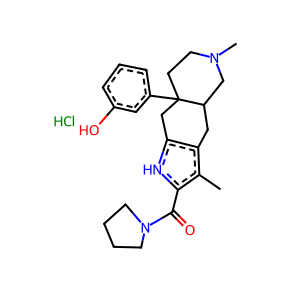 Cc1c(C(=O)N2CCCC2)[nH]c2c1CC1CN(C)CCC1(c1cccc(O)c1)C2.Cl